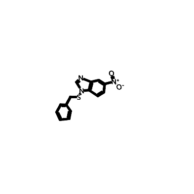 O=[N+]([O-])c1ccc2c(c1)ncn2SCc1ccccc1